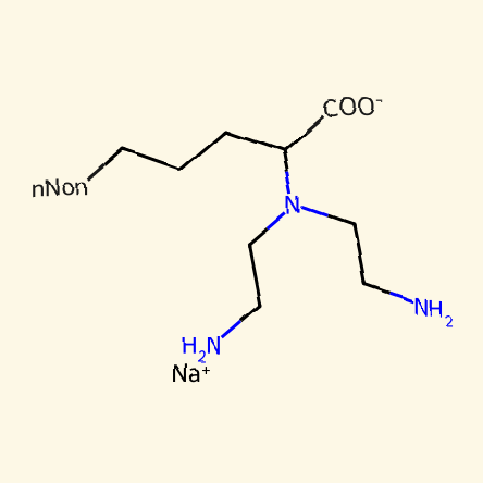 CCCCCCCCCCCCC(C(=O)[O-])N(CCN)CCN.[Na+]